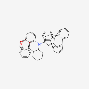 c1ccc(C2CCCCC2N(c2ccc3c(c2)-c2c4cccc2-c2cccc-3c2-c2ccccc2-4)c2cccc3oc4ccccc4c23)cc1